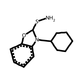 NSC1Oc2ccccc2N1C1CCCCC1